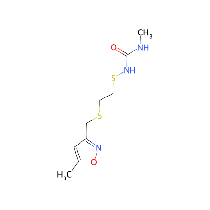 CNC(=O)NSCCSCc1cc(C)on1